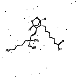 CCCCCC(C)(C=C[C@@H]1[C@@H](CCCCCCC(=O)O)[C@H]2C[C@H]1OO2)OO